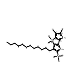 CCCCCCCCCCCCc1c([Si](C)(C)C)sc2c1[Si](C)(C)c1c-2sc(C)c1C